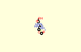 COc1cccc(Oc2ccc(C(=N)c3c(N)ncnc3NC3CCC(CO)OC3)cc2)c1F